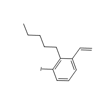 C=Cc1cccc(I)c1CCCCC